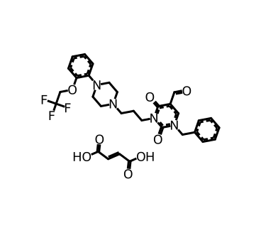 O=C(O)C=CC(=O)O.O=Cc1cn(Cc2ccccc2)c(=O)n(CCCN2CCN(c3ccccc3OCC(F)(F)F)CC2)c1=O